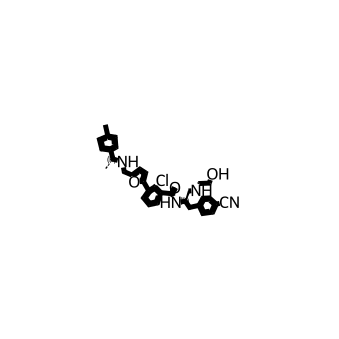 Cc1ccc([C@@H](C)NCc2ccc(-c3cccc(C(=O)N[C@@H](CNCCO)Cc4ccc(C#N)cc4)c3Cl)o2)cc1